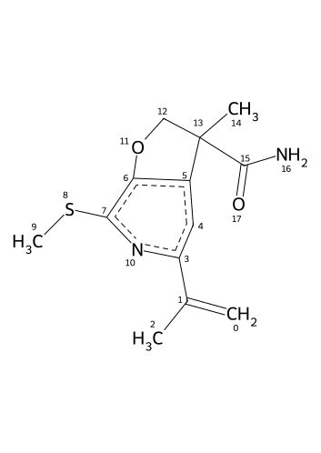 C=C(C)c1cc2c(c(SC)n1)OCC2(C)C(N)=O